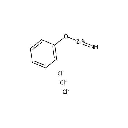 [Cl-].[Cl-].[Cl-].[NH]=[Zr+3][O]c1ccccc1